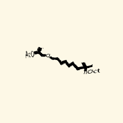 [CH2]C(COCCCCCCCC(C)(C)CCCCCCCC)OC(C)=O